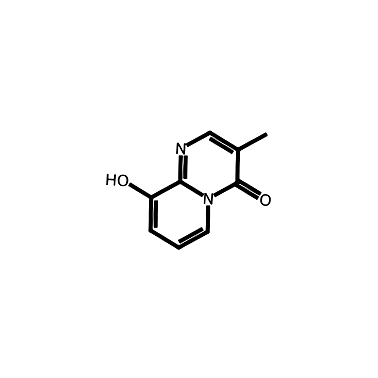 Cc1cnc2c(O)cccn2c1=O